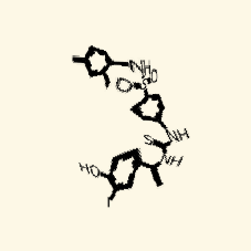 C=C(NC(=S)Nc1ccc(S(=O)(=O)Nc2ccc(C)cc2C)cc1)c1ccc(O)c(I)c1